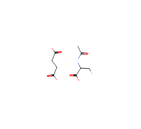 CC(=O)NC(CS)C(=O)O.O=C(O)CCC(=O)O